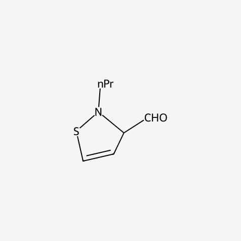 CCCN1SC=CC1C=O